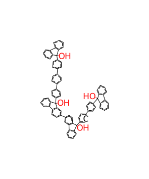 OC1(c2ccc(-c3ccc(-c4ccc(C5(O)c6ccccc6-c6ccc(-c7ccc8c(c7)-c7ccccc7C8(O)c7ccc(-c8ccc(C9(O)c%10ccccc%10-c%10ccccc%109)cc8)cc7)cc65)cc4)cc3)cc2)c2ccccc2-c2ccccc21